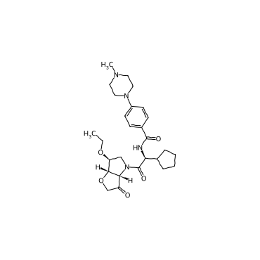 CCO[C@H]1CN(C(=O)[C@@H](NC(=O)c2ccc(N3CCN(C)CC3)cc2)C2CCCC2)[C@@H]2C(=O)CO[C@H]12